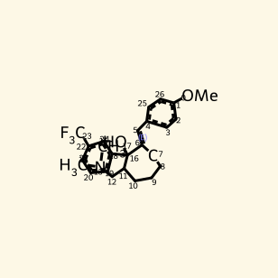 COc1ccc(/C=C2\CCCCC(CN(C)C)C2(O)c2cccc(C(F)(F)F)c2)cc1